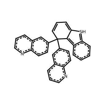 C1=CC(c2ccc3ncccc3c2)(c2ccc3ncccc3c2)C2=c3ccccc3=[SiH]C2=C1